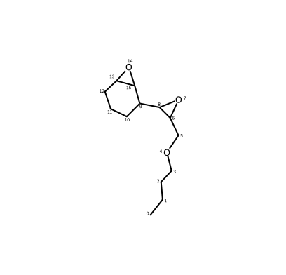 CCCCOCC1OC1C1CCCC2OC21